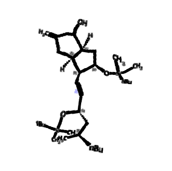 C=C1C[C@@H]2[C@H](/C=C/[C@H](C[C@H](C)CCCC)O[Si](C)(C)C(C)(C)C)[C@H](O[Si](C)(C)C(C)(C)C)C[C@@H]2C1O